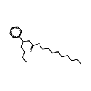 CCCCCCCCCOC(=O)CC(CCCC)c1ccccc1